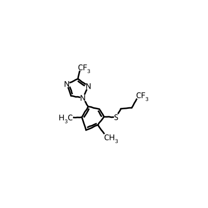 Cc1cc(C)c(-n2cnc(C(F)(F)F)n2)cc1SCCC(F)(F)F